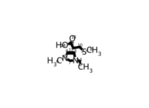 CCN1C=CN(C)C1.CSCCC(=O)O